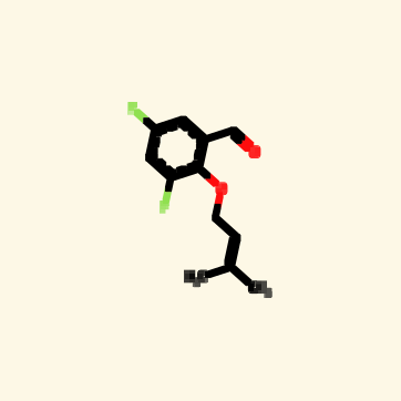 CC(C)=CCOc1c(F)cc(F)cc1C=O